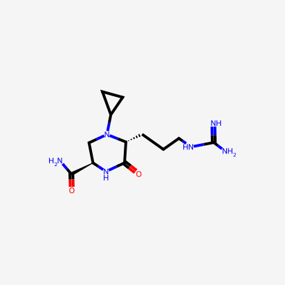 N=C(N)NCCC[C@@H]1C(=O)N[C@@H](C(N)=O)CN1C1CC1